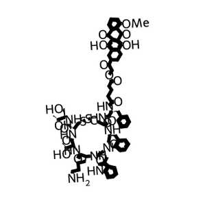 COc1cccc2c1C(=O)c1c(O)c3c(c(O)c1C2=O)CC(C(=O)COC(=O)CCCC(=O)N[C@H](Cc1ccccc1)C(=O)NC1CSSC[C@@H](C(=O)N[C@H](CO)[C@@H](C)O)NC(=O)[C@H]([C@@H](C)O)NC(=O)[C@H](CCCCN)NC(=O)[C@@H](Cc2c[nH]c4ccccc24)NC(=O)[C@H](Cc2ccccc2)NC1=O)CC3